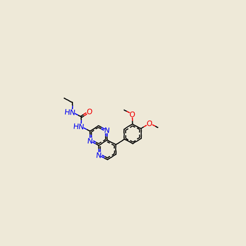 CCNC(=O)Nc1cnc2c(-c3ccc(OC)c(OC)c3)ccnc2n1